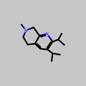 CC(C)c1cc2c(nc1C(C)C)CN(C)CC2